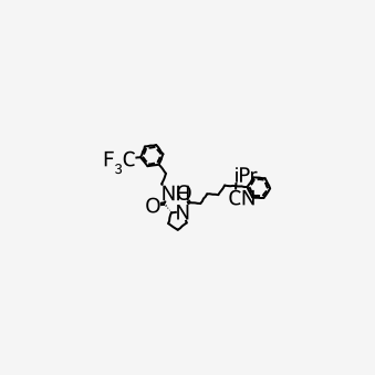 CC(C)C(C#N)(CCCCC(=O)N1CCC[C@@H]1C(=O)NCCc1cccc(C(F)(F)F)c1)c1ccccc1